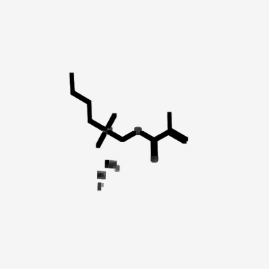 C=C(C)C(=O)OC[N+](C)(C)CCCC.I.N.[I-]